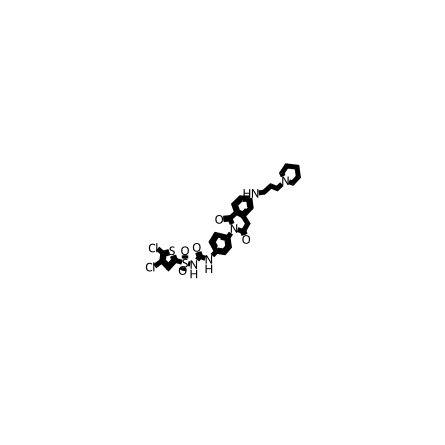 O=C(Nc1ccc(N2C(=O)Cc3cc(NCCCN4CCCCC4)ccc3C2=O)cc1)NS(=O)(=O)c1cc(Cl)c(Cl)s1